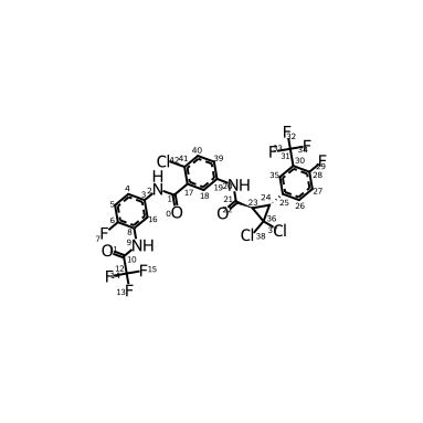 O=C(Nc1ccc(F)c(NC(=O)C(F)(F)F)c1)c1cc(NC(=O)[C@H]2[C@H](c3ccc(F)c(C(F)(F)F)c3)C2(Cl)Cl)ccc1Cl